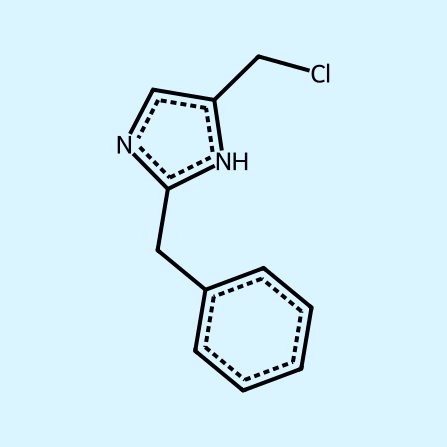 ClCc1cnc(Cc2ccccc2)[nH]1